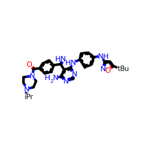 CC(C)N1CCN(C(=O)c2ccc(C(=N)c3c(N)ncnc3Nc3ccc(Nc4cc(C(C)(C)C)on4)cc3)cc2)CC1